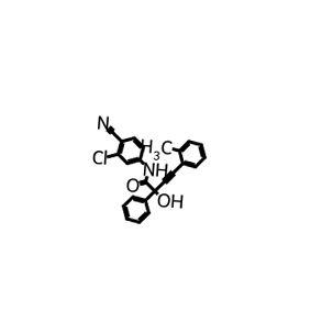 Cc1ccccc1C#CC(O)(C(=O)Nc1ccc(C#N)c(Cl)c1)c1ccccc1